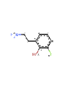 NCCc1cccc(F)c1Br